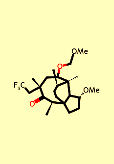 COCOC1C[C@@](C)(CC(F)(F)F)C(=O)[C@H](C)C23CC[C@@H](C)[C@]1(C)C2[C@H](OC)CC3